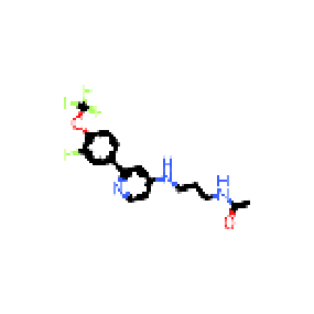 CC(=O)NCCCNc1ccnc(-c2ccc(OC(F)(F)F)c(F)c2)c1